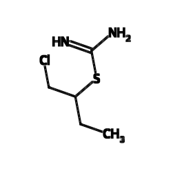 CCC(CCl)SC(=N)N